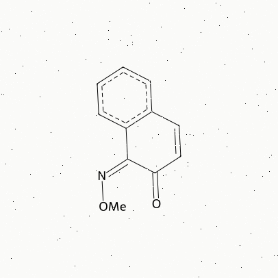 CON=C1C(=O)C=Cc2ccccc21